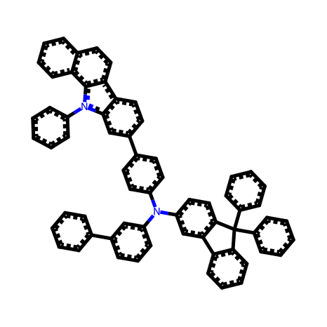 c1ccc(-c2cccc(N(c3ccc(-c4ccc5c6ccc7ccccc7c6n(-c6ccccc6)c5c4)cc3)c3ccc4c(c3)-c3ccccc3C4(c3ccccc3)c3ccccc3)c2)cc1